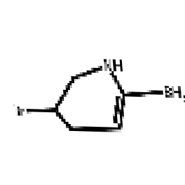 BC1=CCC(Br)CN1